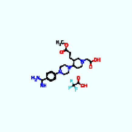 COC(=O)CCC1CN(CC(=O)O)CCC1N1CCN(c2ccc(C(=N)N)cc2)CC1.O=C(O)C(F)(F)F